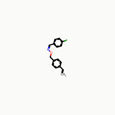 C=Cc1ccc(CO/N=[C]\c2ccc(F)cc2)cc1